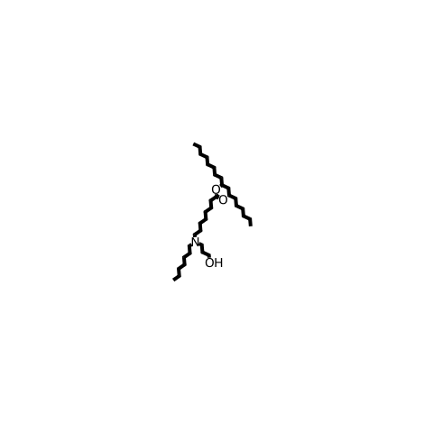 CCCCCCCCC(CCCCCCCC)OC(=O)CCCCCCCN(CCCO)CCCCCCC